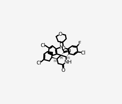 O=C1C[C@@H](C2C=CC=C(Cl)C2)[C@]2(C(=O)Nc3cc(Cl)ccc32)[C@H](c2cc(Cl)c(F)cc2OC2CCOCC2)N1